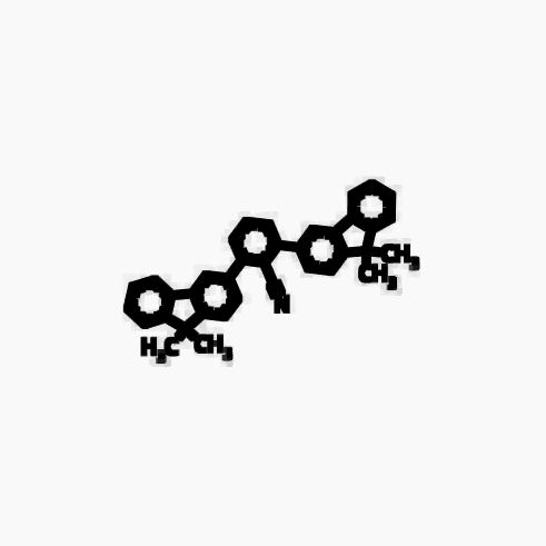 CC1(C)c2ccccc2-c2cc(-c3cccc(-c4ccc5c(c4)-c4ccccc4C5(C)C)c3C#N)ccc21